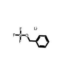 F[Si](F)(F)OCc1ccccc1.[Li]